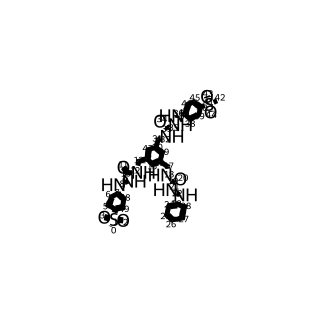 CS(=O)(=O)c1ccc(NNC(=O)NCc2cc(CNC(=O)NNc3ccccc3)cc(CNC(=O)NNc3ccc(S(C)(=O)=O)cc3)c2)cc1